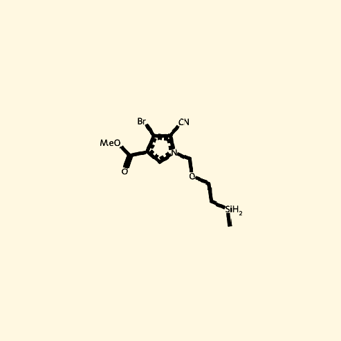 COC(=O)c1cn(COCC[SiH2]C)c(C#N)c1Br